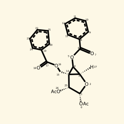 CC(=O)O[C@H]1O[C@@H]2C(OC(=O)c3ccccc3)[C@]2(COC(=O)c2ccccc2)[C@H]1OC(C)=O